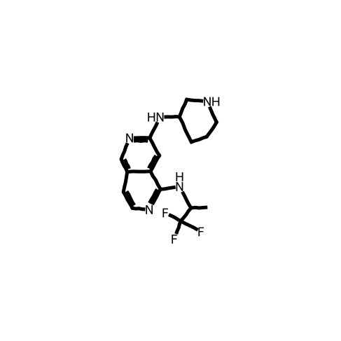 CC(Nc1nccc2cnc(NC3CCCNC3)cc12)C(F)(F)F